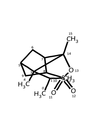 CC(C)C1(C)C2CC3C(C2)S(=O)(=O)OC31C